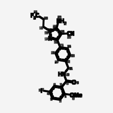 COc1ccc(F)cc1C(=O)NCc1ccc(-c2nn(CCC(F)(F)F)c(N)c2C#N)cc1